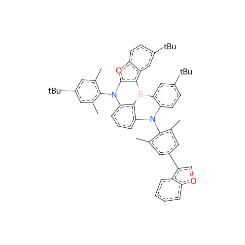 Cc1cc(-c2coc3ccccc23)cc(C)c1N1c2ccc(C(C)(C)C)cc2B2c3c1cccc3N(c1c(C)cc(C(C)(C)C)cc1C)c1oc3ccc(C(C)(C)C)cc3c12